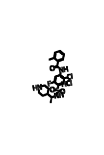 Cc1ccccc1C(=O)Nc1cc(F)c(S(=O)(=O)N[C@@H](C)C2CCNCC2)cc1Cl.Cl